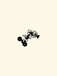 C=C[C@@H]1C[C@]1(NC(=O)C1CC(Oc2nc(-c3ccccc3)cc3ccccc23)CN1)C(=O)NS(=O)(=O)C1CC1